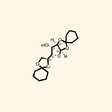 O[C@@H]1[C@H]2OC3(CCCCC3)O[C@H]2O[C@@H]1[C@@H]1COC2(CCCCC2)O1